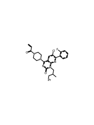 C=CC(=O)N1CCN(c2nc(=O)n(CC(C)CC(C)C)c3nc(-c4ccccc4F)c(Cl)cc23)CC1